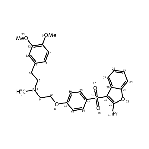 COc1ccc(CCN(C)CCOc2ccc(S(=O)(=O)c3c(C(C)C)oc4ccccc34)cc2)cc1OC